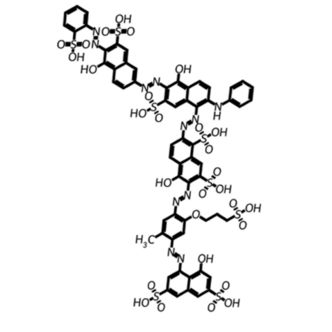 Cc1cc(N=Nc2c(S(=O)(=O)O)cc3c(S(=O)(=O)O)c(N=Nc4c(Nc5ccccc5)ccc5c(O)c(N=Nc6ccc7c(O)c(N=Nc8ccccc8S(=O)(=O)O)c(S(=O)(=O)O)cc7c6)c(S(=O)(=O)O)cc45)ccc3c2O)c(OCCCS(=O)(=O)O)cc1N=Nc1cc(S(=O)(=O)O)cc2cc(S(=O)(=O)O)cc(O)c12